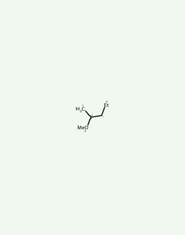 CCCC(C)OC